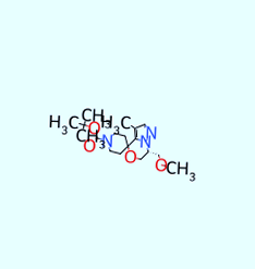 COC[C@@H]1COC2(CCN(C(=O)OC(C)(C)C)CC2)c2c(C)cnn21